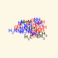 C=C(N)OC1C(O)[C@@H](OC2C(O)[C@H](O)C(CO)O[C@H]2O[C@@H](/C(N)=C/N)[C@H](NC(=O)c2nc([C@H](CC(N)=O)NC[C@H](N)C(N)=O)nc(N)c2C)C(=O)NC)OC(C)[C@H]1C